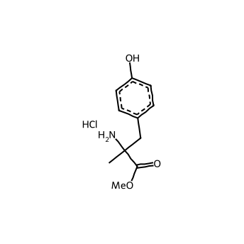 COC(=O)C(C)(N)Cc1ccc(O)cc1.Cl